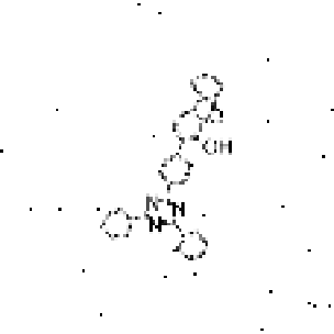 Oc1c(-c2ccc(-c3nc(-c4ccccc4)nc(-c4ccccc4)n3)cc2)ccc2c1oc1ccccc12